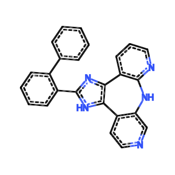 c1ccc(-c2ccccc2-c2nc3c([nH]2)-c2ccncc2Nc2ncccc2-3)cc1